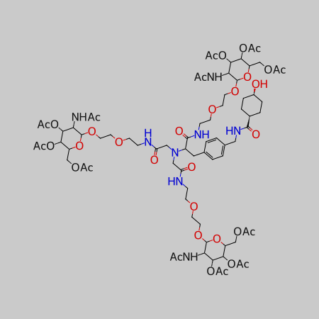 CC(=O)NC1C(OCCOCCNC(=O)CN(CC(=O)NCCOCCOC2OC(COC(C)=O)C(OC(C)=O)C(OC(C)=O)C2NC(C)=O)C(Cc2ccc(CNC(=O)[C@H]3CC[C@@H](O)CC3)cc2)C(=O)NCCOCCOC2OC(COC(C)=O)C(OC(C)=O)C(OC(C)=O)C2NC(C)=O)OC(COC(C)=O)C(OC(C)=O)C1OC(C)=O